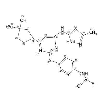 CCC(=O)Nc1ccc(Sc2nc(Nc3cc(C)n[nH]3)cc(N3CCC(O)(C(C)(C)C)C3)n2)cc1